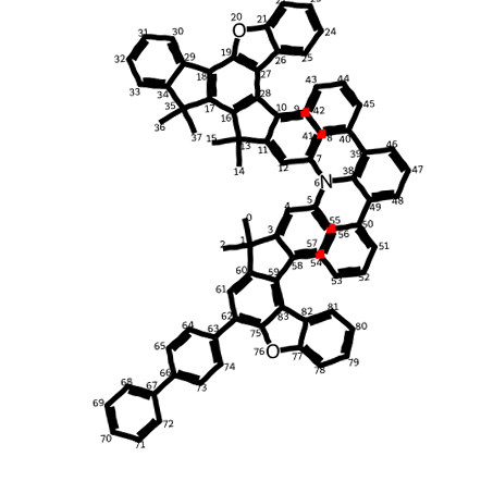 CC1(C)c2cc(N(c3ccc4c(c3)C(C)(C)c3c5c(c6oc7ccccc7c6c3-4)-c3ccccc3C5(C)C)c3c(-c4ccccc4)cccc3-c3ccccc3)ccc2-c2c1cc(-c1ccc(-c3ccccc3)cc1)c1oc3ccccc3c21